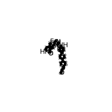 COCCN1CCC(C2CCN(c3ccc(Nc4ncc(F)c(-c5cc6c(n5C)CCNC6=O)n4)nc3)CC2)CC1